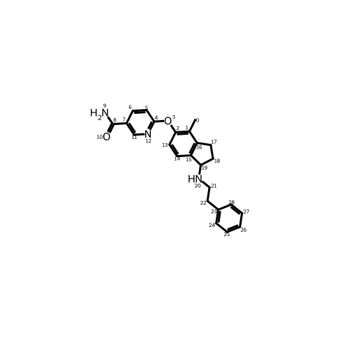 Cc1c(Oc2ccc(C(N)=O)cn2)ccc2c1CCC2NCCc1ccccc1